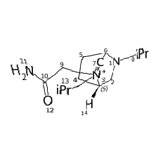 CC(C)N1C[C@@H]2CCC1C[N+]2(CC(N)=O)C(C)C